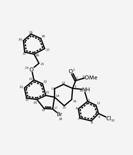 COC(=O)C1(Nc2cccc(Cl)c2)CCC2(CC1)C(Br)=Cc1ccc(OCc3ccccc3)cc12